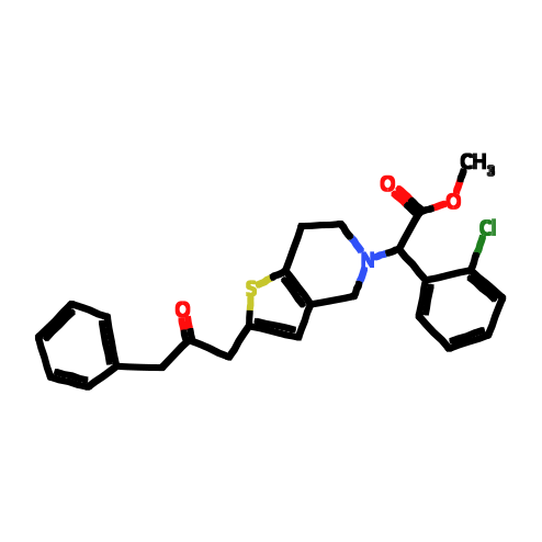 COC(=O)C(c1ccccc1Cl)N1CCc2sc(CC(=O)Cc3ccccc3)cc2C1